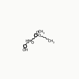 CCCCCCCOc1cc(C=CC(=O)NCCc2ccc(O)cc2)ccc1OC